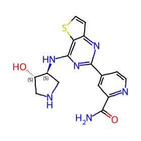 NC(=O)c1cc(-c2nc(N[C@H]3CNC[C@@H]3O)c3sccc3n2)ccn1